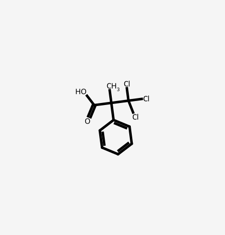 CC(C(=O)O)(c1ccccc1)C(Cl)(Cl)Cl